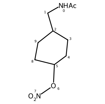 CC(=O)NCC1CCC(O[N+](=O)[O-])CC1